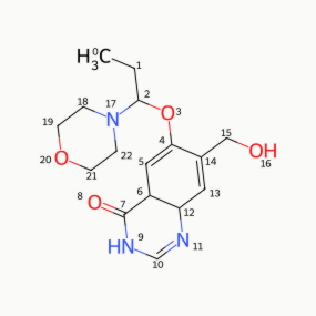 CCC(OC1=CC2C(=O)NC=NC2C=C1CO)N1CCOCC1